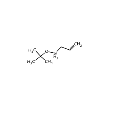 C=CC[SiH2]OC(C)(C)C